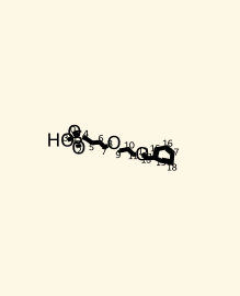 O=S(=O)(O)CCCCOCCCOCc1ccccc1